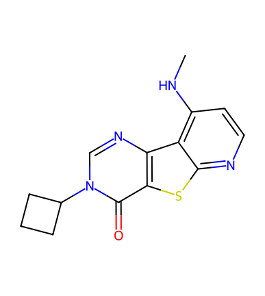 CNc1ccnc2sc3c(=O)n(C4CCC4)cnc3c12